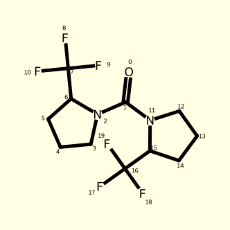 O=C(N1CCCC1C(F)(F)F)N1CCCC1C(F)(F)F